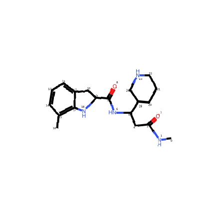 CNC(=O)CC(NC(=O)C1Cc2cccc(C)c2N1)C1CCCNC1